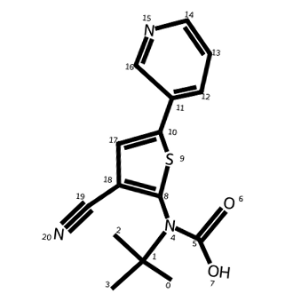 CC(C)(C)N(C(=O)O)c1sc(-c2cccnc2)cc1C#N